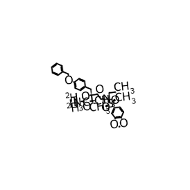 [2H]N([2H])C(=O)O[C@](Cc1ccc(OCc2ccccc2)cc1)(C(=O)CN(CC(C)C)S(=O)(=O)c1ccc2c(c1)OCO2)C(C)(C)C